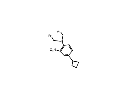 CC(C)CN(CC(C)C)c1ccc(C2CCC2)cc1[N+](=O)[O-]